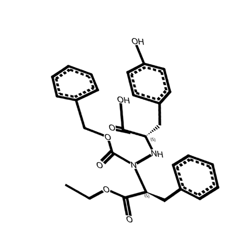 CCOC(=O)[C@H](Cc1ccccc1)N(N[C@@H](Cc1ccc(O)cc1)C(=O)O)C(=O)OCc1ccccc1